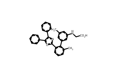 Cc1cc(NCC(=O)O)cc(-c2c(C)cccc2-c2nc(-c3ccccc3)c(-c3ccccc3)o2)c1